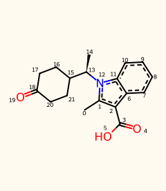 Cc1c(C(=O)O)c2ccccc2n1[C@H](C)C1CCC(=O)CC1